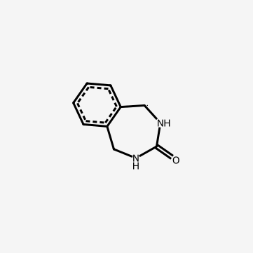 O=C1N[CH]c2ccccc2CN1